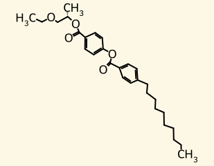 CCCCCCCCCCc1ccc(C(=O)Oc2ccc(C(=O)O[C@@H](C)COCC)cc2)cc1